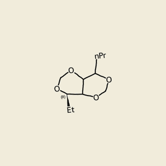 CCCC1OCOC2C1OCO[C@@H]2CC